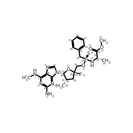 CNc1nc(N)nc2c1ncn2[C@@H]1O[C@](F)(COP(=S)(Cc2ccccc2)N[C@@H](C)C(=O)OC)C[C@@H]1C